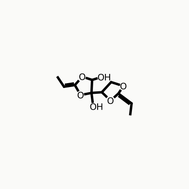 CC=C1OCC(C2(O)OC(=CC)OC2O)O1